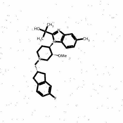 CO[C@@H]1CN(C[C@H]2Cc3ccc(F)cc3C2)CC[C@H]1n1c(C(C)(C)O)nc2cc(C)ccc21